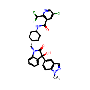 Cn1ncc2cc(C3(O)C(=O)N(C[C@H]4CC[C@H](NC(=O)c5cc(Cl)cnc5C(F)F)CC4)c4ccccc43)ccc21